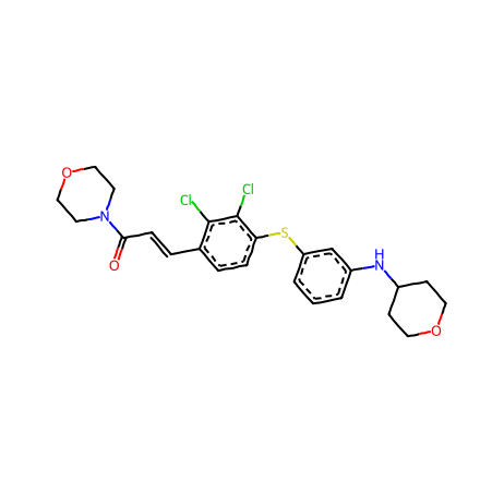 O=C(C=Cc1ccc(Sc2cccc(NC3CCOCC3)c2)c(Cl)c1Cl)N1CCOCC1